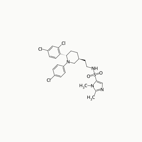 Cc1ncc(S(=O)(=O)NCC[C@@H]2CC[C@@H](c3ccc(Cl)cc3Cl)N(c3ccc(Cl)cc3)C2)n1C